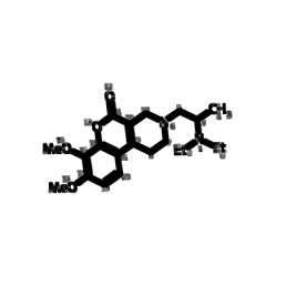 CCN(CC)C(C)CN1CCc2c(c(=O)oc3c(OC)c(OC)ccc23)C1